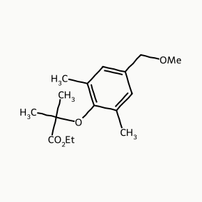 CCOC(=O)C(C)(C)Oc1c(C)cc(COC)cc1C